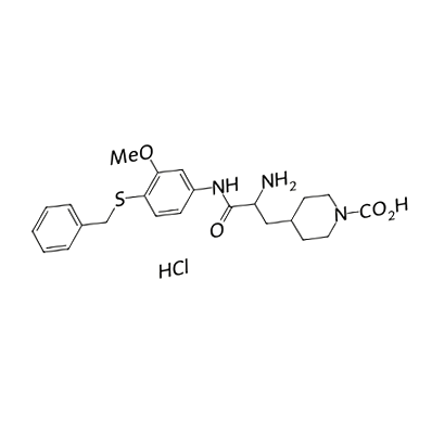 COc1cc(NC(=O)C(N)CC2CCN(C(=O)O)CC2)ccc1SCc1ccccc1.Cl